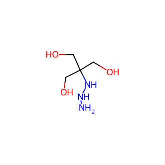 NNNC(CO)(CO)CO